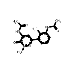 CC(=O)Nc1cccc(-c2cc(NC(C)=O)c(=O)n(C)n2)c1C